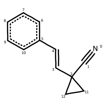 N#CC1(C=Cc2ccccc2)CC1